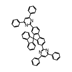 c1ccc(-c2cc(-c3ccccc3)nc(-c3ccc4c(c3)C3(c5ccccc5-c5ccccc53)c3cc(-c5nc(-c6ccccc6)cc(-c6ccccc6)n5)ccc3-4)n2)cc1